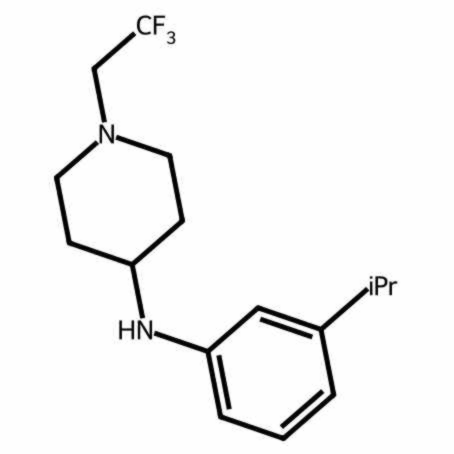 CC(C)c1cccc(NC2CCN(CC(F)(F)F)CC2)c1